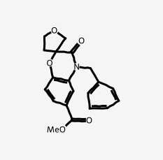 COC(=O)c1ccc2c(c1)N(Cc1ccccc1)C(=O)C1(CCOC1)O2